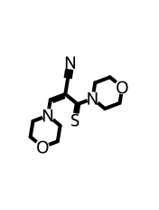 N#CC(=CN1CCOCC1)C(=S)N1CCOCC1